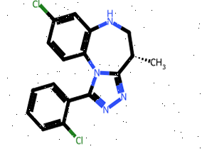 C[C@H]1CNc2cc(Cl)ccc2-n2c(-c3ccccc3Cl)nnc21